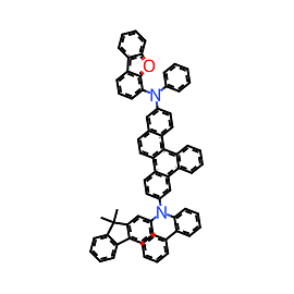 CC1(C)c2ccccc2-c2ccc(N(c3ccc4c(c3)c3ccccc3c3c5ccc(N(c6ccccc6)c6cccc7c6oc6ccccc67)cc5ccc43)c3ccccc3-c3ccccc3)cc21